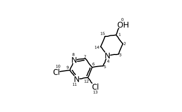 OC1CCN(Cc2cnc(Cl)nc2Cl)CC1